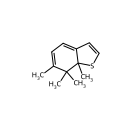 CC1=CC=C2C=CSC2(C)C1(C)C